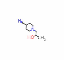 CC(O)CN1CCC(C#N)CC1